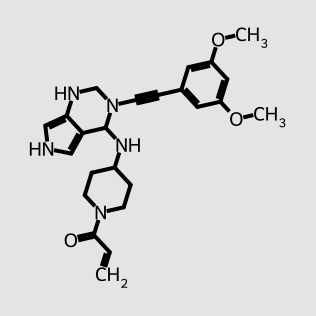 C=CC(=O)N1CCC(NC2c3c[nH]cc3NCN2C#Cc2cc(OC)cc(OC)c2)CC1